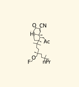 CCCC(C)(C)CC[C@@](C)(CCC(C)(C)[C@]1(C)CC[C@H]2[C@H](C)C(=O)C(C#N)=C[C@]2(C)[C@H]1CC(C)=O)COCF